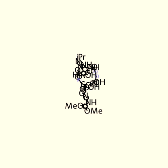 COc1cc(NC2CCN(C(=O)CC(=O)O[C@@H]3CC/C=C/O[C@H]4Oc5c(C)c(O)c6c(c5C4=O)C4=NC5(CCN(CC(C)C)CC5)NC4=C(NC(=O)/C(C)=C\C=C\C(C)[C@H](O)CC(O)C3)C6=O)CC2)cc(OC)c1